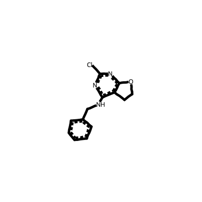 Clc1nc(NCc2ccccc2)c2c(n1)OCC2